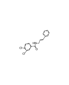 O=C(NCC=Cc1ccccc1)c1ccc(Cl)c(Cl)c1